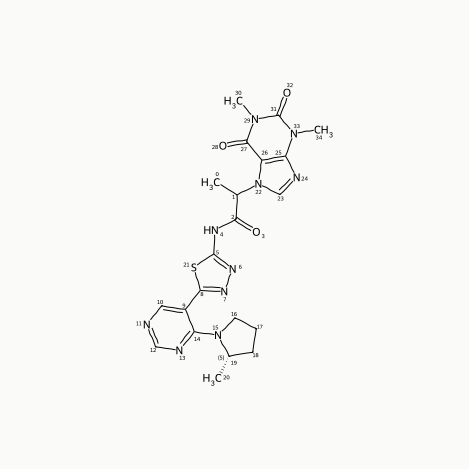 CC(C(=O)Nc1nnc(-c2cncnc2N2CCC[C@@H]2C)s1)n1cnc2c1c(=O)n(C)c(=O)n2C